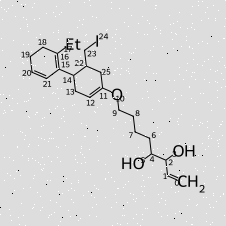 C=CC(O)C(O)CCCCOC1=CCC(C2=C(CC)CCC=C2)C(CI)C1